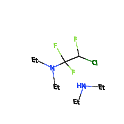 CCN(CC)C(F)(F)C(F)Cl.CCNCC